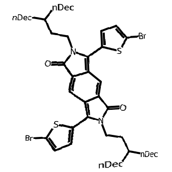 CCCCCCCCCCC(CCCCCCCCCC)CCN1C(=O)c2cc3c(cc2=C1c1ccc(Br)s1)C(=O)N(CCC(CCCCCCCCCC)CCCCCCCCCC)C=3c1ccc(Br)s1